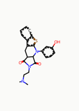 CN(C)CCN1C(=O)C2Cc3c(sc4ccccc34)N(c3cccc(O)c3)C2C1=O